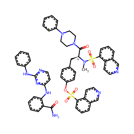 CN([C@@H](Cc1ccc(OS(=O)(=O)c2cccc3cnccc23)cc1)C(=O)N1CCN(c2ccccc2)CC1)S(=O)(=O)c1cccc2cnccc12.NC(=O)c1ccccc1Nc1ccnc(Nc2ccccc2)n1